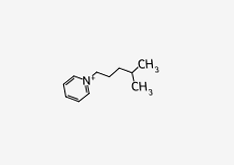 CC(C)CCC[n+]1ccccc1